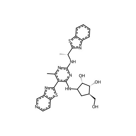 Cc1nc(N[C@H](C)c2nc3ccccc3s2)nc(NC2C[C@H](CO)[C@@H](O)[C@H]2O)c1-c1nc2cnccc2s1